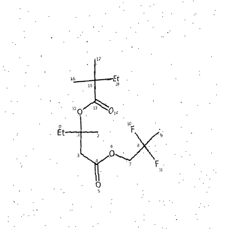 CCC(C)(CC(=O)OCC(C)(F)F)OC(=O)C(C)(C)CC